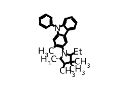 CCC1N(c2cc3c4ccccc4n(-c4ccccc4)c3cc2C)[C@@H](C)C(C)C1(C)C